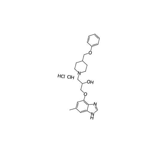 Cc1cc(OCC(O)CN2CCC(COc3ccccc3)CC2)c2nc[nH]c2c1.Cl.Cl